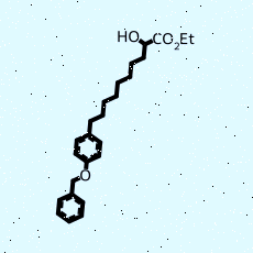 CCOC(=O)C(O)CCCCCCCCc1ccc(OCc2ccccc2)cc1